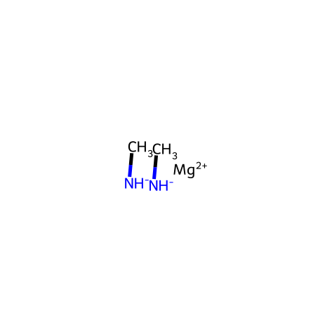 C[NH-].C[NH-].[Mg+2]